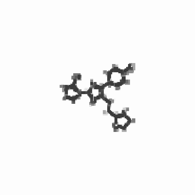 CCc1nccn1-c1nc(-c2ccc(Cl)cc2)c(CCC2=NCCO2)o1